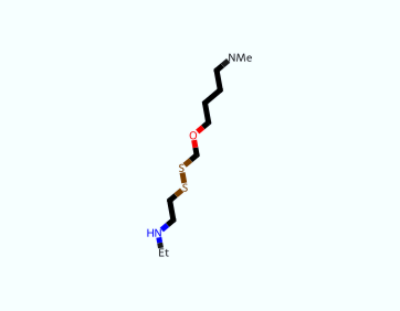 CCNCCSSCOCCCCNC